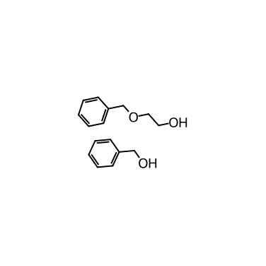 OCCOCc1ccccc1.OCc1ccccc1